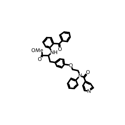 COC(=O)C(Cc1ccc(OCCN(C(=O)c2ccncc2)c2ccccc2)cc1)Nc1ccccc1C(=O)c1ccccc1